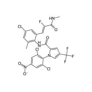 CNC(=O)/C(F)=C/c1cc(Cl)cc(C)c1NC(=O)c1cc(C(F)(F)F)cn1-c1c(Cl)cc([N+](=O)[O-])cc1Cl